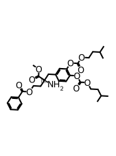 COC(=O)[C@@](N)(CCOC(=O)c1ccccc1)Cc1ccc(OC(=O)OCCC(C)C)c(OC(=O)OCCC(C)C)c1